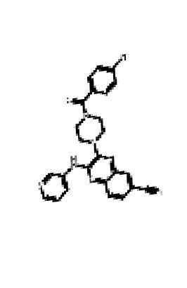 N#Cc1ccc2nc(Nc3cccnc3)c(N3CCN(C(=O)c4ccc(Cl)cc4)CC3)nc2c1